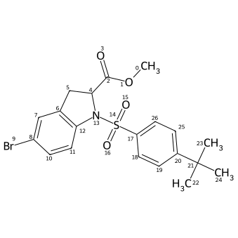 COC(=O)C1Cc2cc(Br)ccc2N1S(=O)(=O)c1ccc(C(C)(C)C)cc1